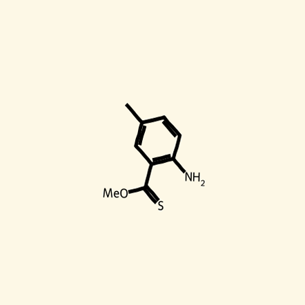 COC(=S)c1cc(C)ccc1N